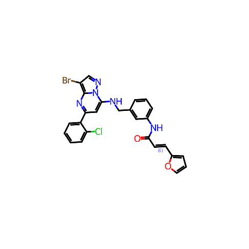 O=C(/C=C/c1ccco1)Nc1cccc(CNc2cc(-c3ccccc3Cl)nc3c(Br)cnn23)c1